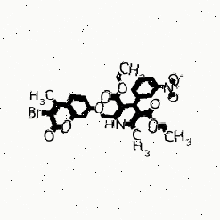 CCOC(=O)C1=C(C)NC(COc2ccc3c(C)c(Br)c(=O)oc3c2)=C(C(=O)OCC)C1c1cccc([N+](=O)[O-])c1